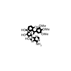 COc1cc(C(C[C@@]2(n3cnc4c(N)ncnc43)O[C@H](CO)[C@@H](O)[C@H]2O)c2ccccc2C)cc(OC)c1OC